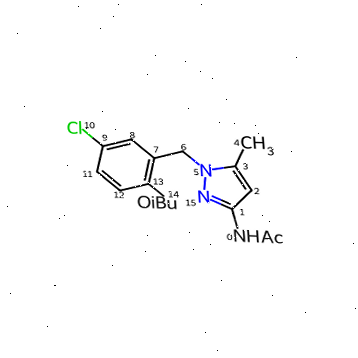 CC(=O)Nc1cc(C)n(Cc2cc(Cl)ccc2OCC(C)C)n1